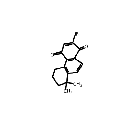 CC(C)C1=CC(=O)c2c(ccc3c2CCCC3(C)C)C1=O